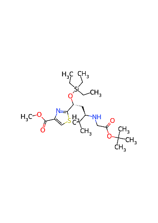 CC[Si](CC)(CC)O[C@H](C[C@@H](NCC(=O)OC(C)(C)C)C(C)C)c1nc(C(=O)OC)cs1